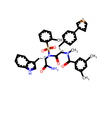 Cc1cc(C)cc(C(=O)N(C)[C@@H](Cc2ccc(-c3ccsc3)cc2)C(=O)N([C@@H](Cc2c[nH]c3ccccc23)C(N)=O)S(=O)(=O)c2ccccc2C)c1